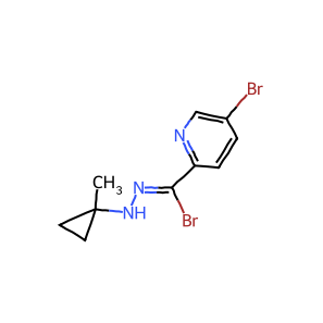 CC1(N/N=C(\Br)c2ccc(Br)cn2)CC1